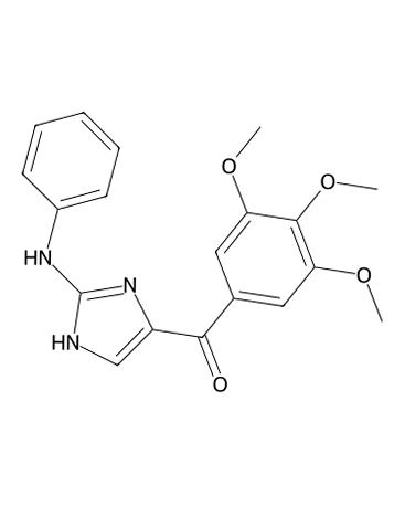 COc1cc(C(=O)c2c[nH]c(Nc3ccccc3)n2)cc(OC)c1OC